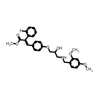 COC(=O)/C(=C/c1ccc(OCC(O)CNCc2ccc(OC)cc2OC)cc1)c1ccccc1F